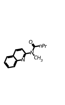 CCCC(=O)N(C)c1ccc2ccccc2n1